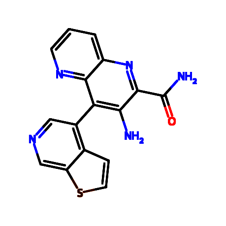 NC(=O)c1nc2cccnc2c(-c2cncc3sccc23)c1N